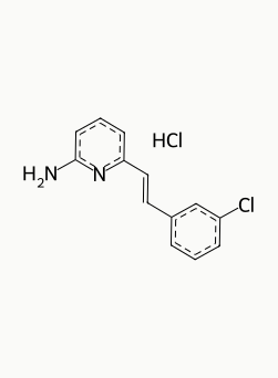 Cl.Nc1cccc(/C=C/c2cccc(Cl)c2)n1